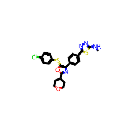 CNc1nnc(-c2ccc(-c3nc(C4CCOCC4)oc3Sc3ccc(Cl)cc3)cc2)s1